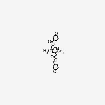 CC(CC(=O)OCC1CCC2OC2C1)CC(C)(C)COC(=O)C1CCC2OC2C1